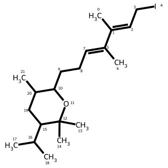 CC(=C\CI)/C(C)=C/CCC1OC(C)(C)C(C(C)C)CC1C